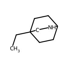 CCC12CCC(CC1)NC2